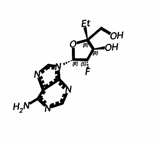 CC[C@]1(CO)O[C@@H](n2cnc3c(N)ncnc32)[C@@H](F)[C@@H]1O